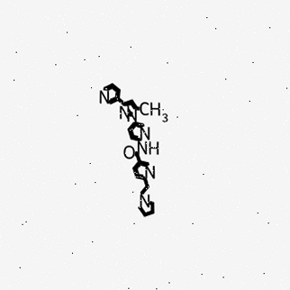 Cc1cc(-c2cccnc2)nn1-c1ccc(NC(=O)c2ccc(CCN3CCCC3)nc2)nc1